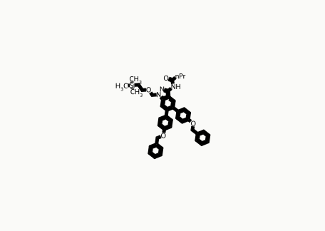 CCCC(=O)Nc1nn(COCC[Si](C)(C)C)c2cc(-c3ccc(OCc4ccccc4)cc3)c(-c3ccc(OCc4ccccc4)cc3)cc12